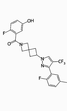 Cc1ccc(F)c(-c2nn(C3CC4(C3)CN(C(=O)c3cc(O)ccc3F)C4)cc2C(F)(F)F)c1